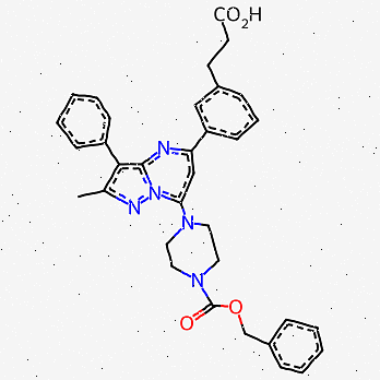 Cc1nn2c(N3CCN(C(=O)OCc4ccccc4)CC3)cc(-c3cccc(CCC(=O)O)c3)nc2c1-c1ccccc1